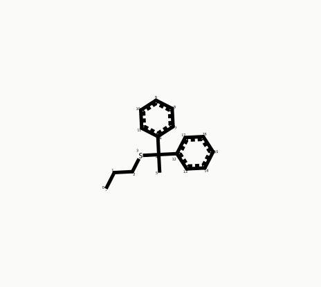 [CH2]CCSC(C)(c1ccccc1)c1ccccc1